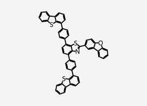 c1ccc2c(c1)oc1ccc(-c3nc4c(-c5ccc(-c6cccc7c6sc6ccccc67)cc5)ccc(-c5ccc(-c6cccc7c6sc6ccccc67)cc5)c4s3)cc12